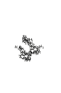 CCCN1C(=O)C(N)N=C(N2CCN(C)CC2)c2ccccc21.CCCn1c(=O)c(=NO)nc(N2CCN(C)CC2)c2ccccc21.O=C(O)C(F)(F)F